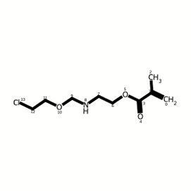 C=C(C)C(=O)OCCNCOCCCl